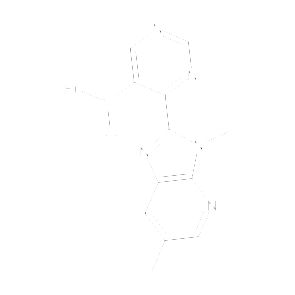 CC[S+]([O-])c1cncnc1-c1nc2cc(C)cnc2n1C